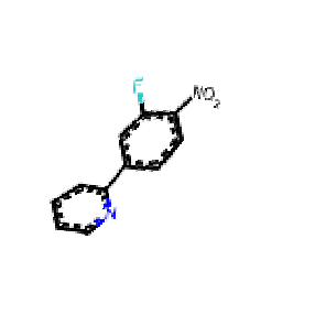 O=[N+]([O-])c1ccc(-c2ccccn2)cc1F